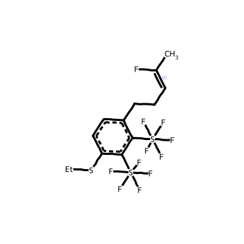 CCSc1ccc(CC/C=C(/C)F)c(S(F)(F)(F)(F)F)c1S(F)(F)(F)(F)F